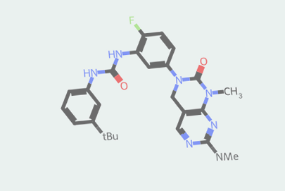 CNc1ncc2c(n1)N(C)C(=O)N(c1ccc(F)c(NC(=O)Nc3cccc(C(C)(C)C)c3)c1)C2